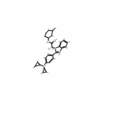 CC1CCCC(OC(=O)[C@@H](C)n2c(-c3ccc(N(C4CC4)C4CC4)cc3)nc3ccccc32)C1